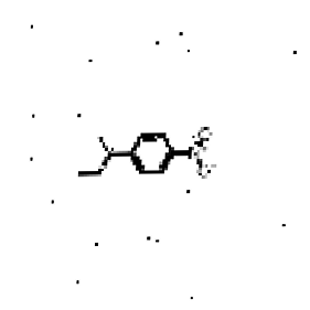 CC[C@@H](C)c1ccc([N+](=O)[O-])cc1